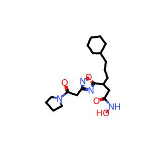 O=C(CC(CCCC1CCCCC1)c1nc(CC(=O)N2CCCC2)no1)NO